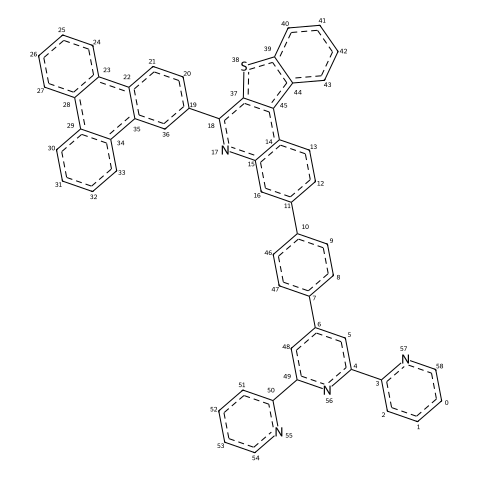 c1ccc(-c2cc(-c3ccc(-c4ccc5c(c4)nc(-c4ccc6c7ccccc7c7ccccc7c6c4)c4sc6ccccc6c45)cc3)cc(-c3ccccn3)n2)nc1